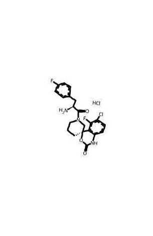 Cl.N[C@@H](Cc1ccc(F)cc1)C(=O)N1CCC[C@@]2(C1)OC(=O)Nc1ccc(Cl)c(F)c12